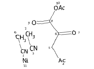 CC#N.CC#N.CC(=O)CC(=O)C(=O)OC(C)=O.[Ni]